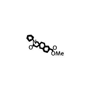 COC(=O)c1ccc2c(c1)CCC1(CC(=O)N(c3ccccc3)C1)C2